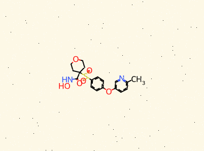 Cc1ccc(Oc2ccc(S(=O)(=O)C3(C(=O)NO)CCOCC3)cc2)cn1